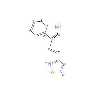 C(=Cc1c[nH]c2ccccc12)c1cnsn1